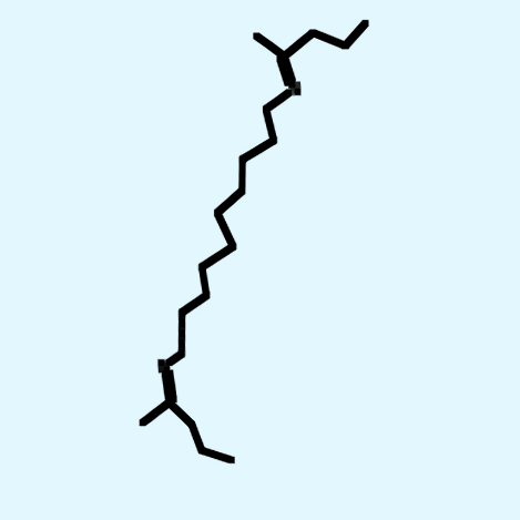 CCCC(C)=NCCCCCCCCCCN=C(C)CCC